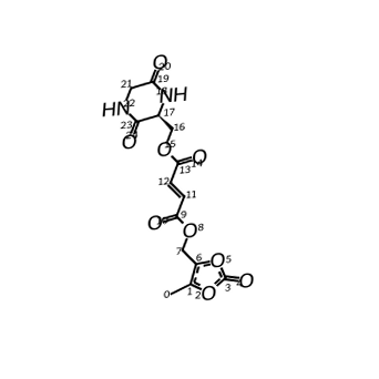 Cc1oc(=O)oc1COC(=O)/C=C/C(=O)OC[C@@H]1NC(=O)CNC1=O